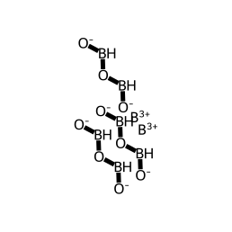 [B+3].[B+3].[O-]BOB[O-].[O-]BOB[O-].[O-]BOB[O-]